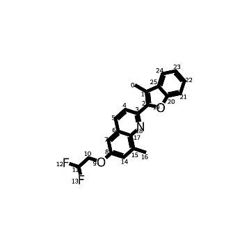 Cc1c(-c2ccc3cc(OCC(F)F)cc(C)c3n2)oc2ccccc12